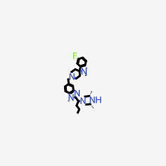 CCCC(c1nc2cc(CN3CCC(c4cccc(F)c4)(N(C)C)CC3)ccc2n1C)N1C[C@@H](C)N[C@@H](C)C1